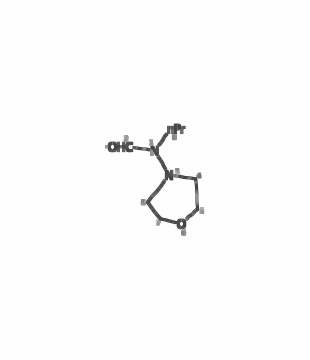 CCCN([C]=O)N1CCOCC1